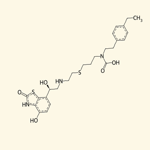 CCc1ccc(CCN(CCCSCCNC[C@H](O)c2ccc(O)c3[nH]c(=O)sc23)C(=O)O)cc1